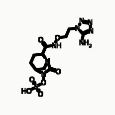 Nc1nnnn1CCONC(=O)C1CCC2CN1C(=O)N2OS(=O)(=O)O